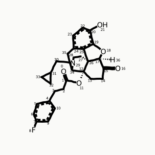 O=C(CCc1ccc(F)cc1)O[C@@]12CCC(=O)[C@@H]3Oc4c(O)ccc5c4[C@@]31CCN(CC1CC1)C2C5